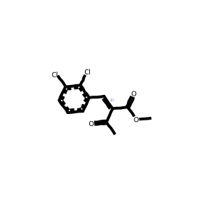 COC(=O)/C(=C/c1cccc(Cl)c1Cl)C(C)=O